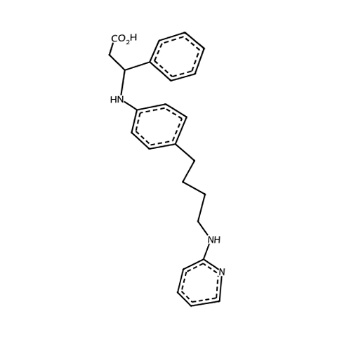 O=C(O)CC(Nc1ccc(CCCCNc2ccccn2)cc1)c1ccccc1